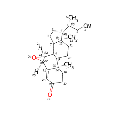 C[C@H](CC#N)[C@H]1CCC2C3C(CC[C@@]21C)[C@@]1(C)CCC(=O)C=C1[C@H]1O[C@@H]31